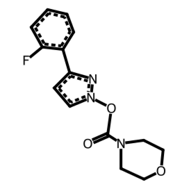 O=C(On1ccc(-c2ccccc2F)n1)N1CCOCC1